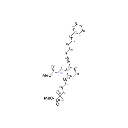 COC(=O)/C=C/c1c(C#CCCCCOC2CCCCO2)cccc1OCCCC(C)(C)C(=O)OC